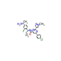 C[C@H](N)c1ccc([C@H](C)NC(=O)c2cc(-c3ccc(Cl)cc3)nc(-c3cnn(C)c3)n2)c(F)c1